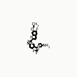 CCOc1cc2nc(-c3nnc4ccc([C@@H](N5CC[C@@H](N)C5)C(F)(F)F)cn34)ccc2cc1F